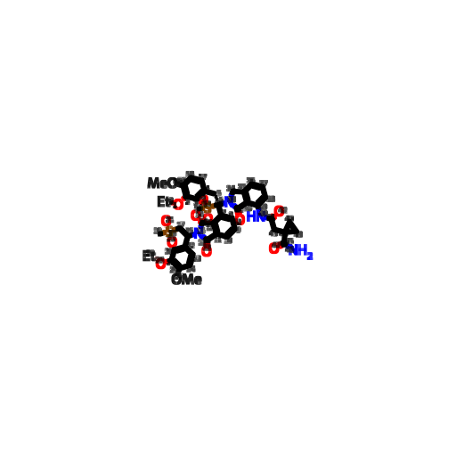 CCOc1cc(C[C@@](c2cccc3c2C(=O)N(C(CS(C)(=O)=O)c2ccc(OC)c(OCC)c2)C3=O)(N2Cc3cccc(NC(=O)CC4(C(N)=O)CC4)c3C2=O)S(C)(=O)=O)ccc1OC